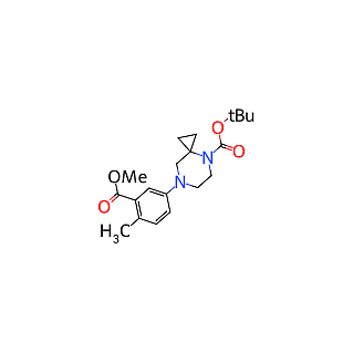 COC(=O)c1cc(N2CCN(C(=O)OC(C)(C)C)C3(CC3)C2)ccc1C